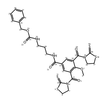 COc1c(C(=O)N2CCSC2=S)cc(C(=O)NCCCNC(=O)OCc2ccccc2)cc1C(=O)N1CCSC1=S